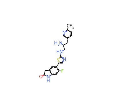 NC(CNc1ncc(-c2cc3c(cc2F)NC(=O)C3)s1)Cc1ccc(C(F)(F)F)nc1